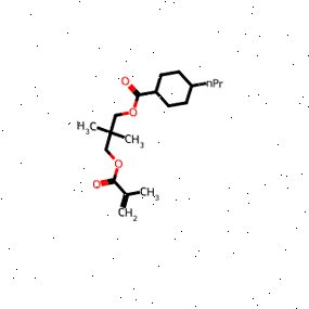 C=C(C)C(=O)OCC(C)(C)COC(=O)C1CCC(CCC)CC1